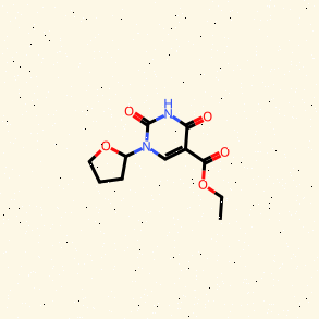 CCOC(=O)c1cn(C2CCCO2)c(=O)[nH]c1=O